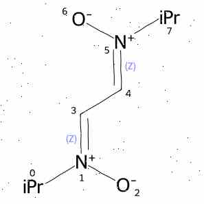 CC(C)/[N+]([O-])=C/C=[N+](\[O-])C(C)C